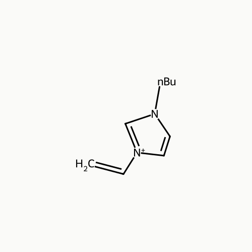 C=C[n+]1ccn(CCCC)c1